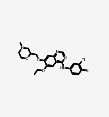 CCOc1cc2c(Nc3ccc(Br)c(Cl)c3)ncnc2cc1OCC1CN(C)CCO1